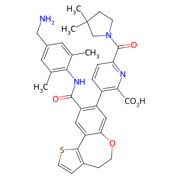 Cc1cc(CN)cc(C)c1NC(=O)c1cc2c(cc1-c1ccc(C(=O)N3CCC(C)(C)C3)nc1C(=O)O)OCCc1ccsc1-2